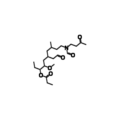 CCC(=O)OC(CC)C(CC(CC=O)CC(C)CCN(C=O)CCC(C)=O)OC